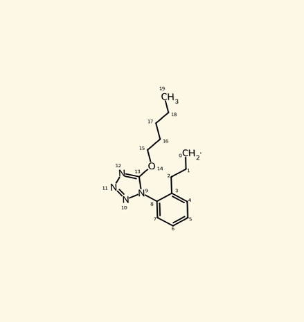 [CH2]CCc1ccccc1-n1nnnc1OCCCCC